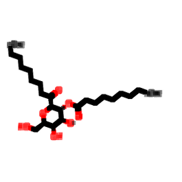 CCCCCCCCCCCCCCCCCC(=O)O[C@@H]1[C@@H]([O])[C@@H](O)[C@@H](CO)O[C@H]1C(=O)CCCCCCCCCCCCCCCCC